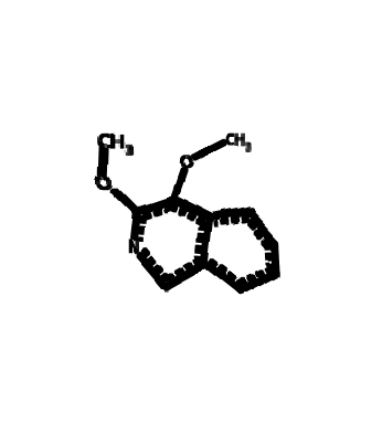 COc1n[c]c2ccccc2c1OC